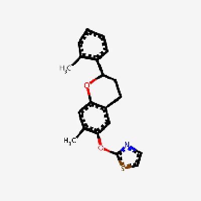 Cc1cc2c(cc1Oc1nccs1)CCC(c1ccccc1C)O2